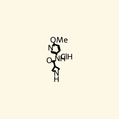 COc1ccc(NC(=O)C2CNC2)cn1.Cl